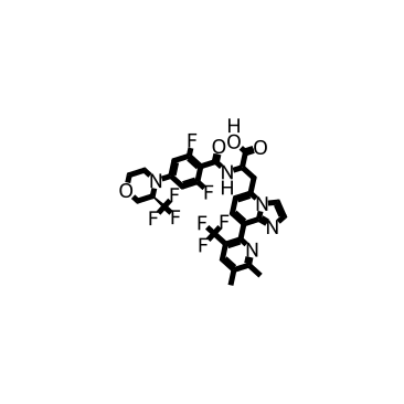 Cc1cc(C(F)(F)F)c(-c2ccc(CC(NC(=O)c3c(F)cc(N4CCOC[C@@H]4C(F)(F)F)cc3F)C(=O)O)n3ccnc23)nc1C